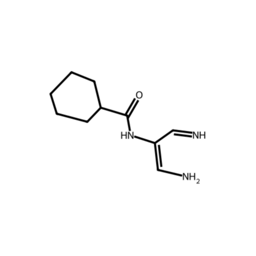 N=C/C(=C\N)NC(=O)C1CCCCC1